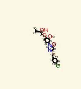 COc1cc(-n2cnc(SCc3ccc(Cl)cc3)cc2=O)ccc1OCC(O)C1CC1